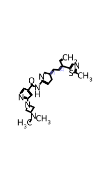 C=C/C(=C\C=C1\C=NC(NC(=O)c2ccnc(N3CC(N(C)C)C3)c2)=CC1)c1cnc(C)s1